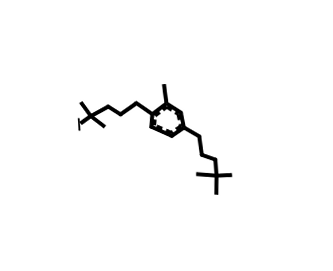 Cc1cc(CCCC(C)(C)C)ccc1CCCC(C)(C)I